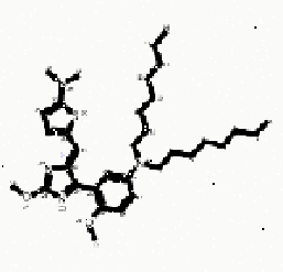 CCCCCCCCN(CCCCCCCC)c1ccc(OC)c(C2=NC(OC)=N/C2=C\c2ccc(N(C)C)s2)c1